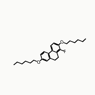 CCCCCCOc1ccc2c(c1)CCc1c-2ccc(OCCCCCC)c1F